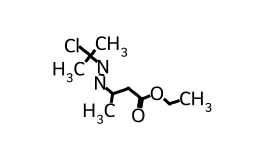 CCOC(=O)CC(C)/N=N/C(C)(C)Cl